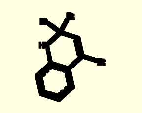 CCC1=CC(CC)(CC)Nc2ccccc21